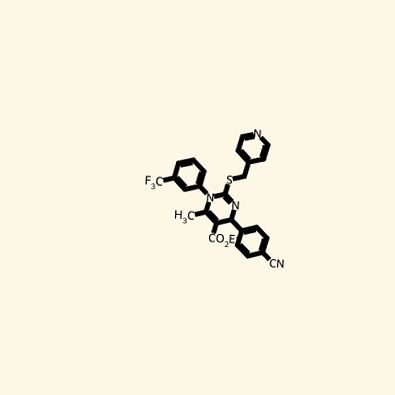 CCOC(=O)C1=C(C)N(c2cccc(C(F)(F)F)c2)C(SCc2ccncc2)=NC1c1ccc(C#N)cc1